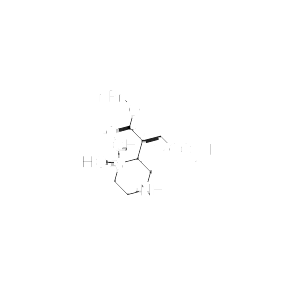 CCCOC(=O)/C(=C/C(=O)O)C1CNCCS1(O)O